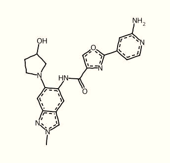 Cn1cc2cc(NC(=O)c3coc(-c4ccnc(N)c4)n3)c(N3CCC(O)C3)cc2n1